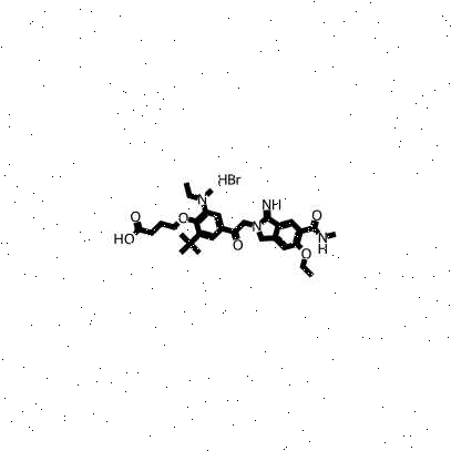 Br.CCOc1cc2c(cc1C(=O)NC)C(=N)N(CC(=O)c1cc(N(C)CC)c(OCCCC(=O)O)c(C(C)(C)C)c1)C2